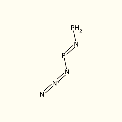 [N-]=[N+]=NP=NP